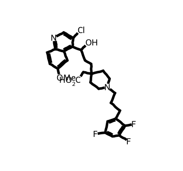 COc1ccc2ncc(Cl)c(C(O)CCC3(CC(=O)O)CCN(CCCc4cc(F)cc(F)c4F)CC3)c2c1